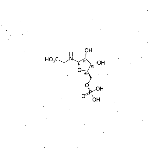 O=C(O)CNC1O[C@H](COP(=O)(O)O)[C@@H](O)[C@H]1O